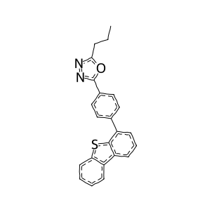 CCCc1nnc(-c2ccc(-c3cccc4c3sc3ccccc34)cc2)o1